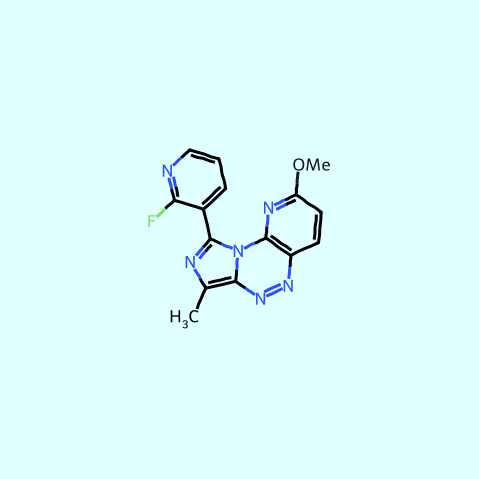 COc1ccc2nnc3c(C)nc(-c4cccnc4F)n3c2n1